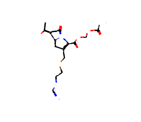 CC(O)C1C(=O)N2C(C(=O)OCOC(=O)C(C)(C)C)=C(CSCCNC=N)CC12